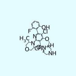 CC1COCC(C)N1c1nc(-c2c(O)cccc2F)c(Cl)c2c1C(=O)N1CCNC[C@@H]1CO2